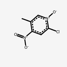 Cc1c[n+]([O-])c(Cl)cc1[N+](=O)[O-]